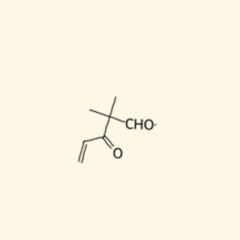 C=CC(=O)C(C)(C)[C]=O